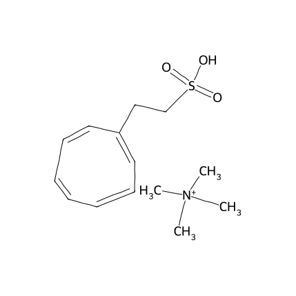 C[N+](C)(C)C.O=S(=O)(O)CCC1=CC=CC=CC=C1